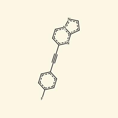 Fc1ccc(C#Cc2ccn3nccc3n2)cc1